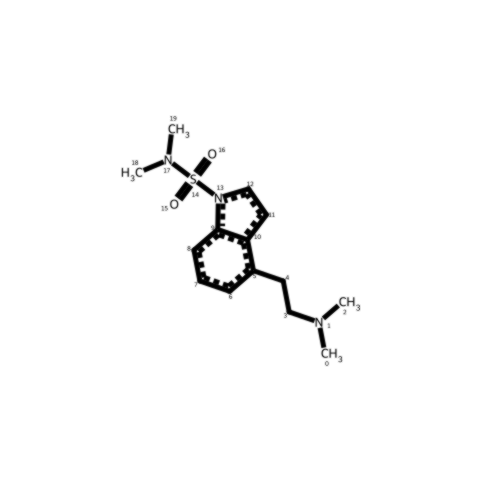 CN(C)CCc1cccc2c1ccn2S(=O)(=O)N(C)C